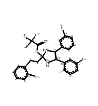 O=C(OC1(CCc2ccccc2F)NC(c2cccc(F)c2)C(c2cccc(F)c2)N1)C(F)(F)F